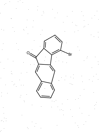 O=C1c2cc3ccccc3cc2-c2c(Br)cccc21